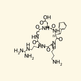 NCCCC[C@@H]1NC(=O)[C@H](Cc2ccccc2)NC(=O)[C@H](CC(=O)O)NC(=O)CNC(=O)[C@H](CCCNC(N)N)NC1=O